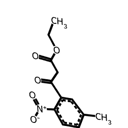 CCOC(=O)CC(=O)c1cc(C)ccc1[N+](=O)[O-]